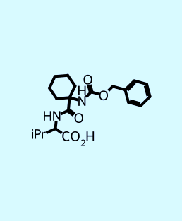 CC(C)C(NC(=O)C1(NC(=O)OCc2ccccc2)CCCCC1)C(=O)O